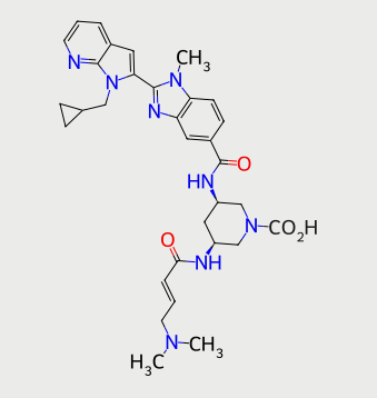 CN(C)C/C=C/C(=O)N[C@H]1C[C@@H](NC(=O)c2ccc3c(c2)nc(-c2cc4cccnc4n2CC2CC2)n3C)CN(C(=O)O)C1